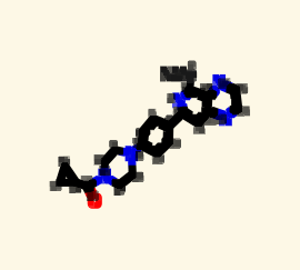 CNc1nc(-c2ccc(N3CCN(C(=O)C4CC4)CC3)cc2)cc2nccnc12